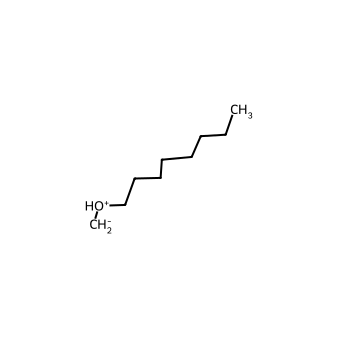 [CH2-][OH+]CCCCCCCC